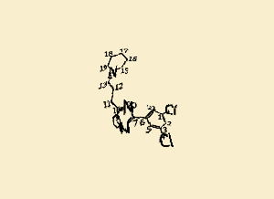 Clc1cc(Cl)cc(-c2noc(CCCN3CCCCC3)n2)c1